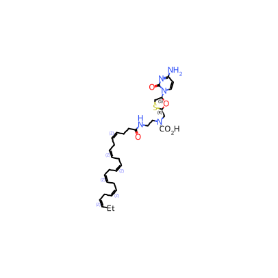 CC/C=C\C/C=C\C/C=C\C/C=C\C/C=C\C/C=C\CCC(=O)NCCN(C[C@@H]1O[C@H](n2ccc(N)nc2=O)CS1)C(=O)O